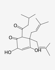 CC(C)=CCC1(CC=C(C)C)C(O)=CC(O)C(=O)C1C(=O)CC(C)C